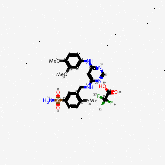 COc1ccc(Nc2cc(NCc3cc(S(N)(=O)=O)ccc3SC)ncn2)cc1OC.O=C(O)C(F)(F)F